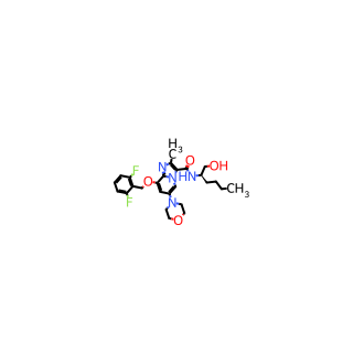 CCCC[C@H](CO)NC(=O)c1c(C)nc2c(OCc3c(F)cccc3F)cc(N3CCOCC3)cn12